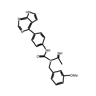 COc1cccc(CN(C(C)=N)C(=O)Nc2ccc(-c3ncnc4[nH]ccc34)cc2)c1